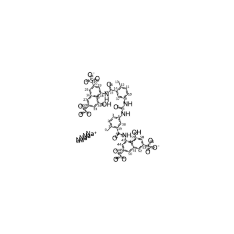 Cc1ccc(NC(=O)Nc2ccc(C)c(C(=O)Nc3cc(S(=O)(=O)[O-])cc4cc(S(=O)(=O)[O-])cc(O)c34)c2)cc1C(=O)Nc1cc(S(=O)(=O)[O-])cc2cc(S(=O)(=O)[O-])cc(O)c12.[Na+].[Na+].[Na+].[Na+]